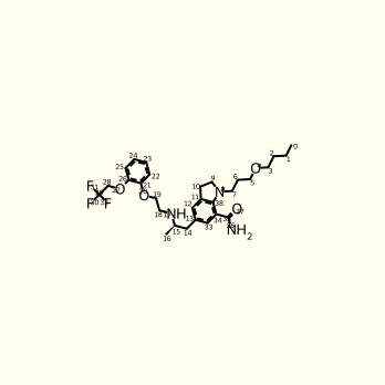 CCCCOCCCN1CCc2cc(C[C@@H](C)NCCOc3ccccc3OCC(F)(F)F)cc(C(N)=O)c21